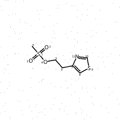 CS(=O)(=O)OCCc1cscn1